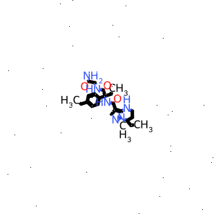 CCc1ccc(C(CC)(NC(=O)c2cnn3c2NCCC3(C)CC)C(=O)NCC(N)=O)cc1